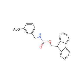 CC(=O)Oc1cccc(CNC(=O)OCC2c3ccccc3-c3ccccc32)c1